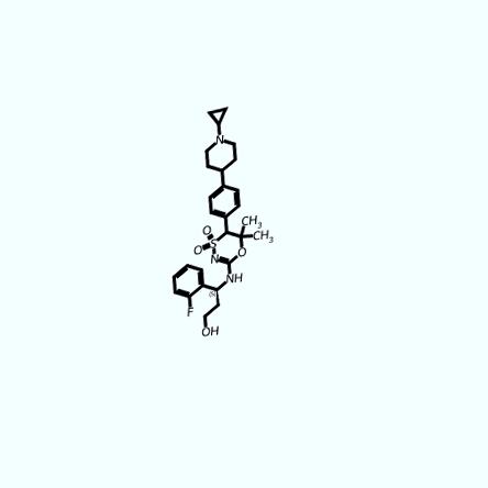 CC1(C)OC(N[C@@H](CCO)c2ccccc2F)=NS(=O)(=O)C1c1ccc(C2CCN(C3CC3)CC2)cc1